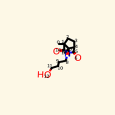 CC12CCC(C(=O)N(CCCCO)C1=O)C2(C)C